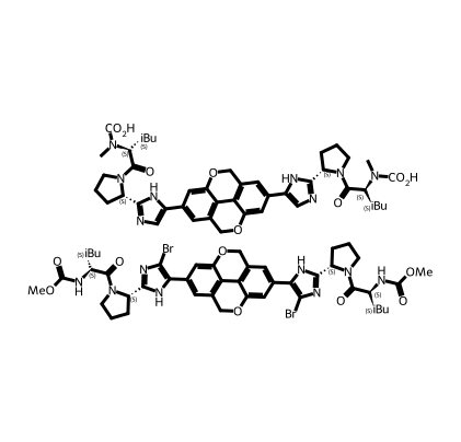 CC[C@H](C)[C@@H](C(=O)N1CCC[C@H]1c1ncc(-c2cc3c4c(c2)OCc2cc(-c5cnc([C@@H]6CCCN6C(=O)[C@H]([C@@H](C)CC)N(C)C(=O)O)[nH]5)cc(c2-4)OC3)[nH]1)N(C)C(=O)O.CC[C@H](C)[C@H](NC(=O)OC)C(=O)N1CCC[C@H]1c1nc(Br)c(-c2cc3c4c(c2)OCc2cc(-c5[nH]c([C@@H]6CCCN6C(=O)[C@@H](NC(=O)OC)[C@@H](C)CC)nc5Br)cc(c2-4)OC3)[nH]1